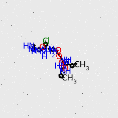 CCc1cccc(-c2cnc(C(=O)NCCOCCC(=O)N3CCN(CC[C@H](NC(=O)C4(N)CCN(c5ncnc6[nH]ccc56)CC4)c4ccc(Cl)cc4)CC3)c(NC(=O)CNCc3cccc(C)c3)c2)c1